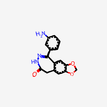 Nc1cccc(C2=NNC(=O)Cc3cc4c(cc32)OCO4)c1